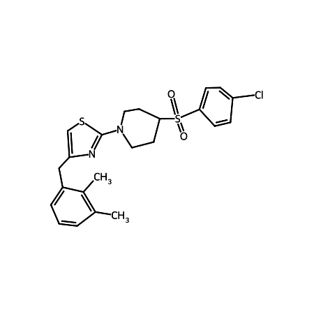 Cc1cccc(Cc2csc(N3CCC(S(=O)(=O)c4ccc(Cl)cc4)CC3)n2)c1C